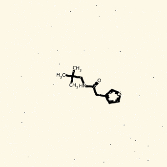 CC(C)(C)CNC(=O)Cc1ccsc1